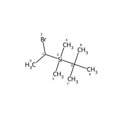 CC(Br)[Si](C)(C)C(C)(C)C